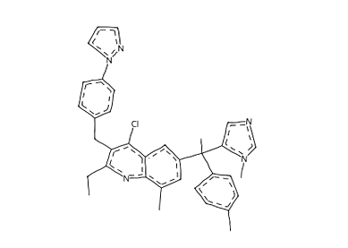 CCc1nc2c(C)cc(C(C)(c3ccc(C)cc3)c3cncn3C)cc2c(Cl)c1Cc1ccc(-n2cccn2)cc1